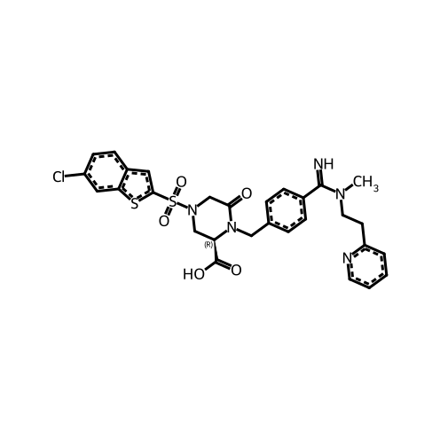 CN(CCc1ccccn1)C(=N)c1ccc(CN2C(=O)CN(S(=O)(=O)c3cc4ccc(Cl)cc4s3)C[C@@H]2C(=O)O)cc1